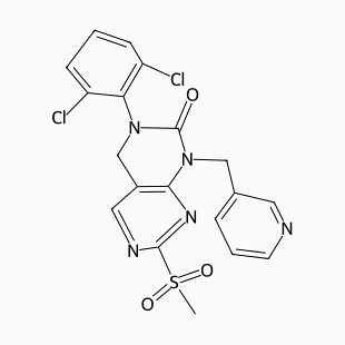 CS(=O)(=O)c1ncc2c(n1)N(Cc1cccnc1)C(=O)N(c1c(Cl)cccc1Cl)C2